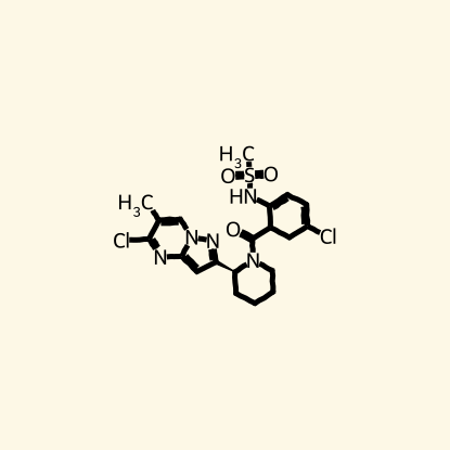 Cc1cn2nc([C@@H]3CCCCN3C(=O)C3CC(Cl)=CC=C3NS(C)(=O)=O)cc2nc1Cl